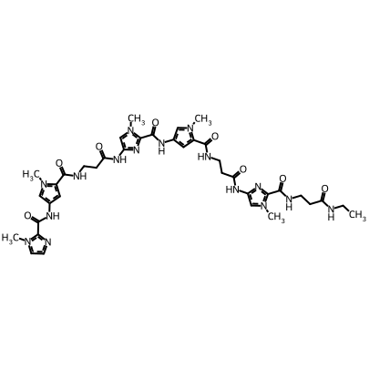 CCNC(=O)CCNC(=O)c1nc(NC(=O)CCNC(=O)c2cc(NC(=O)c3nc(NC(=O)CCNC(=O)c4cc(NC(=O)c5nccn5C)cn4C)cn3C)cn2C)cn1C